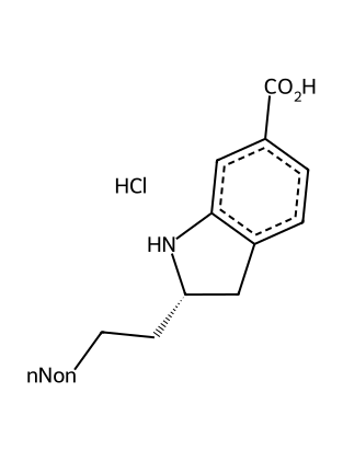 CCCCCCCCCCC[C@H]1Cc2ccc(C(=O)O)cc2N1.Cl